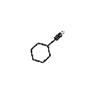 N#CC1C[CH]CCC1